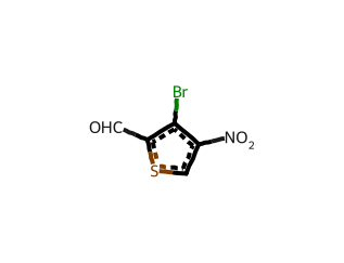 O=Cc1scc([N+](=O)[O-])c1Br